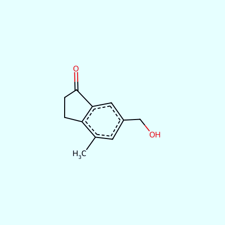 Cc1cc(CO)cc2c1CCC2=O